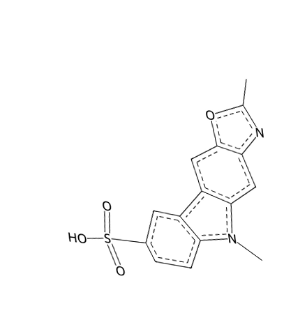 Cc1nc2cc3c(cc2o1)c1cc(S(=O)(=O)O)ccc1n3C